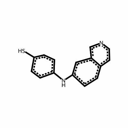 Sc1ccc(Nc2ccc3ccncc3c2)cc1